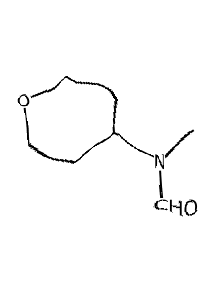 CN(C=O)C1CCOCC1